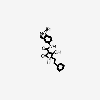 CC(C)n1ncc2cc(NC(=O)C3=C(O)C(CCc4ccccc4)NC3=O)ccc21